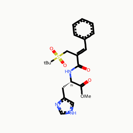 COC(=O)[C@H](Cc1c[nH]cn1)NC(=O)C(=Cc1ccccc1)CS(=O)(=O)C(C)(C)C